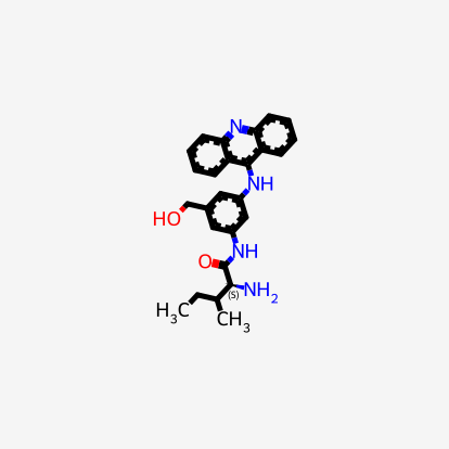 CCC(C)[C@H](N)C(=O)Nc1cc(CO)cc(Nc2c3ccccc3nc3ccccc23)c1